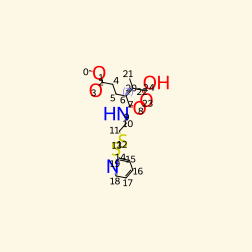 COC(=O)CC/C(C(=O)NCCSSc1ccccn1)=C(\C)C(=O)O